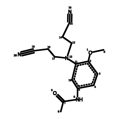 COc1ccc(NC(C)=O)cc1N(CCC#N)CCC#N